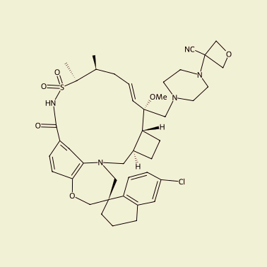 CO[C@@]1(CN2CCN(C3(C#N)COC3)CC2)/C=C/C[C@H](C)[C@@H](C)S(=O)(=O)NC(=O)c2ccc3c(c2)N(C[C@@H]2CC[C@H]21)C[C@@]1(CCCc2cc(Cl)ccc21)CO3